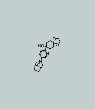 OC1(c2ccc(N3CC4CCC(C3)O4)cn2)CCC2(CC1)OCCO2